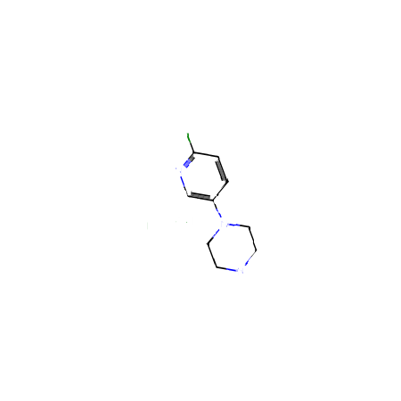 Cl.Cl.Clc1ccc(N2CCNCC2)cn1